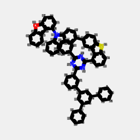 c1ccc(-c2cc(-c3ccccc3)cc(-c3cccc(-c4nc(-c5ccccc5)nc(-c5cccc6sc7ccc(-c8ccc9c(c8)c8ccccc8n9-c8cccc9oc%10ccccc%10c89)cc7c56)n4)c3)c2)cc1